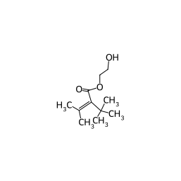 CC(C)=C(C(=O)OCCO)C(C)(C)C